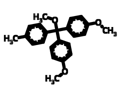 COc1ccc(C(OC)(c2ccc(C)cc2)c2ccc(OC)cc2)cc1